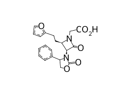 O=C(O)CN1C(=O)[C@@H](N2C(=O)OCC2c2ccccc2)[C@H]1CCc1ccco1